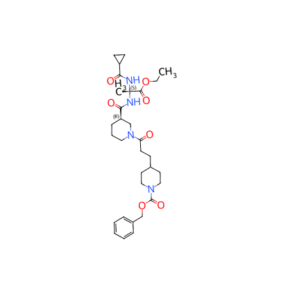 CCOC(=O)[C@@](C)(NC(=O)C1CC1)NC(=O)[C@@H]1CCCN(C(=O)CCC2CCN(C(=O)OCc3ccccc3)CC2)C1